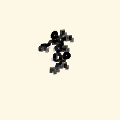 C=C(/C=C\c1c(C)cc(C(C)C)n1-c1nc(C/C=C\C=C/C)c2ccccc2n1)/C1=C/C2=C(C/C=C\C1)N(C(=C)/C=C\C)Cc1ccccc12